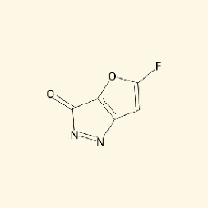 O=C1N=Nc2cc(F)oc21